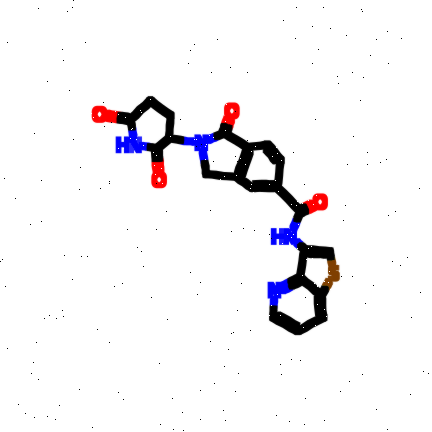 O=C1CCC(N2Cc3cc(C(=O)Nc4csc5cccnc45)ccc3C2=O)C(=O)N1